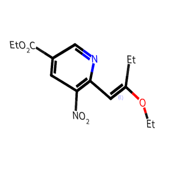 CCOC(=O)c1cnc(/C=C(\CC)OCC)c([N+](=O)[O-])c1